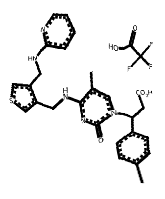 Cc1ccc(C(CC(=O)O)n2cc(C)c(NCc3cscc3CNc3ccccn3)nc2=O)cc1.O=C(O)C(F)(F)F